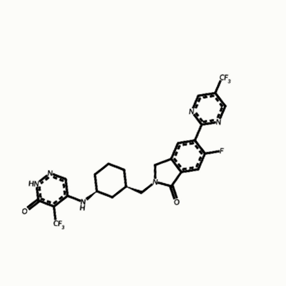 O=C1c2cc(F)c(-c3ncc(C(F)(F)F)cn3)cc2CN1C[C@@H]1CCC[C@H](Nc2cn[nH]c(=O)c2C(F)(F)F)C1